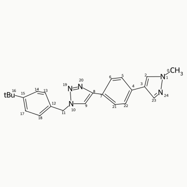 Cn1cc(-c2ccc(-c3cn(Cc4ccc(C(C)(C)C)cc4)nn3)cc2)cn1